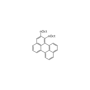 CCCCCCCCc1cc2cccc3c4cccc5cccc(c(c1CCCCCCCC)c23)c54